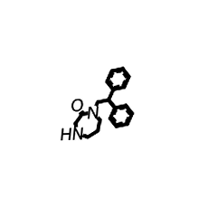 O=C1CNCCCN1CC(c1ccccc1)c1ccccc1